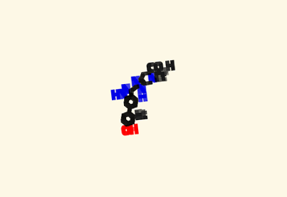 CCc1cc(O)ccc1-c1ccc2c(-c3nc4c([nH]3)CN(CC)C(C(=O)O)C4)n[nH]c2c1